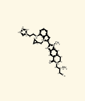 Cn1c(-c2cc3cccc(OCCn4cnnn4)c3n2CC2CC2)nc2cc3c(cc21)CCN(C[C@H](N)CF)C3=O